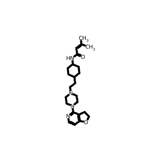 CC(C)=CC(=O)NC1CCC(CCN2CCN(c3nccc4c3CCO4)CC2)CC1